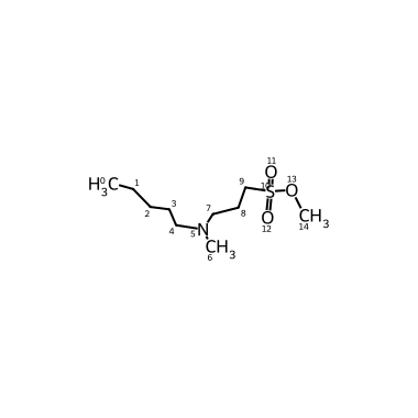 CCCCCN(C)CCCS(=O)(=O)OC